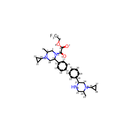 CC1CN(C(=O)C(=O)OCC(F)(F)F)C(c2ccccc2)CN1C1CC1.CC1CNC(c2ccccc2)CN1C1CC1